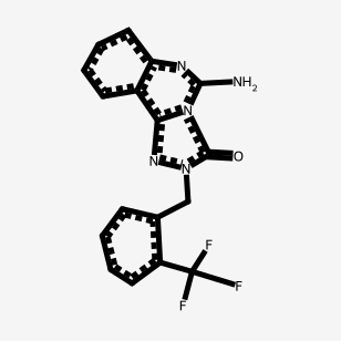 Nc1nc2ccccc2c2nn(Cc3ccccc3C(F)(F)F)c(=O)n12